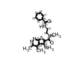 Cc1nnc2sc(C(=O)N(C)CCNC(=O)c3ccccc3)c(N)c2c1C